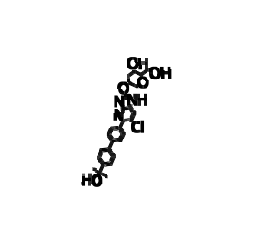 CC(C)(O)c1ccc(-c2ccc(-c3nc4nc(O[C@H]5COC(CO)[C@@H](O)C5)[nH]c4cc3Cl)cc2)cc1